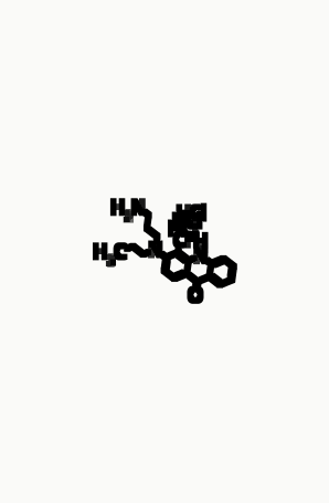 CCCN(CCCN)c1ccc2c(=O)c3ccccc3[nH]c2c1C.Cl.Cl.Cl